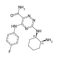 NC(=O)c1nnc(N[C@@H]2CCCC[C@@H]2N)nc1Nc1ccc(F)cc1